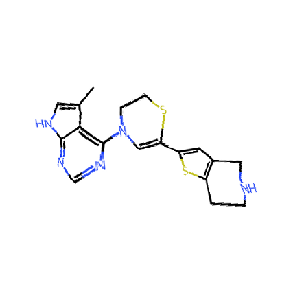 Cc1c[nH]c2ncnc(N3C=C(c4cc5c(s4)CCNC5)SCC3)c12